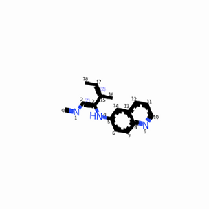 C=N/C=C(Nc1ccc2ncccc2c1)/C(C)=C\C